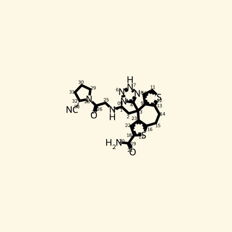 C[C@@H](CC1(c2nn[nH]n2)c2ccsc2CCc2sc(C(N)=O)cc21)NCC(=O)N1CCC[C@H]1C#N